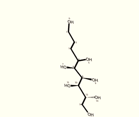 OCCCC(O)[C@H](O)[C@@H](O)[C@H](O)[C@H](O)CO